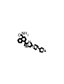 CN1CCC(N2CCN(c3cnc4c(-c5ccc(C(N)=O)c6ccccc56)cnn4c3)CC2)CC1